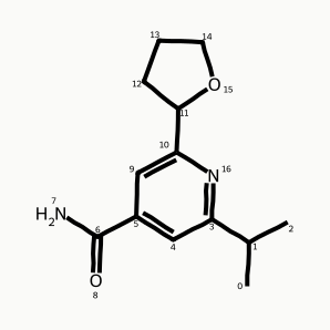 CC(C)c1cc(C(N)=O)cc(C2CCCO2)n1